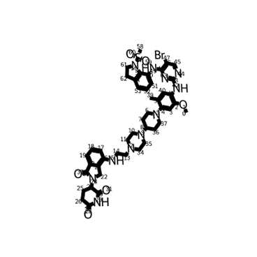 COc1cc(N2CCC(N3CCN(CCNc4cccc5c4CN(C4CCC(=O)NC4=O)C5=O)CC3)CC2)c(C)cc1Nc1ncc(Br)c(Nc2cccc3c2N(S(C)(=O)=O)CC3)n1